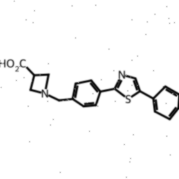 O=C(O)C1CN(Cc2ccc(-c3ncc(-c4ccccc4)s3)cc2)C1